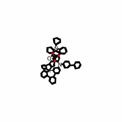 c1ccc(-c2ccc(N(c3ccc4c(c3)-c3ccccc3N(c3ccccc3)c3ccccc3-4)c3ccc4c(c3)[C@@]3(c5ccccc5-c5ccccc5-4)c4ccccc4-c4c3ccc3c4oc4ccccc43)cc2)cc1